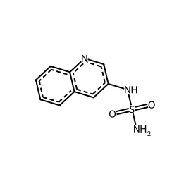 NS(=O)(=O)Nc1cnc2ccccc2c1